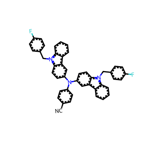 N#Cc1ccc(N(c2ccc3c(c2)c2ccccc2n3Cc2ccc(F)cc2)c2ccc3c(c2)c2ccccc2n3Cc2ccc(F)cc2)cc1